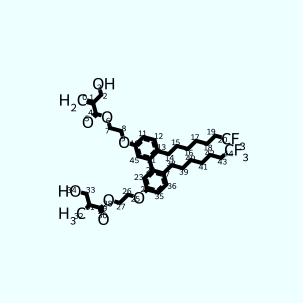 C=C(CO)C(=O)OCCOc1ccc(CCCCCCC(F)(F)F)c(-c2cc(OCCOC(=O)C(C)CO)ccc2CCCCCCC(F)(F)F)c1